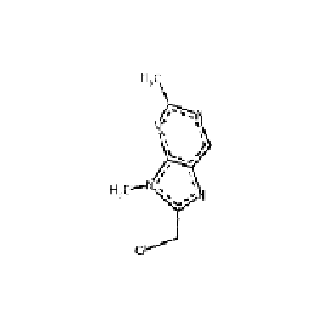 Cc1ncc2nc(CCl)n(C)c2n1